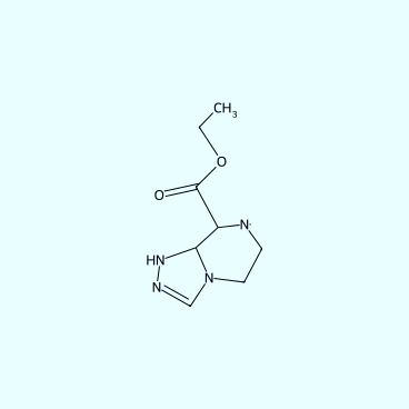 CCOC(=O)C1[N]CCN2C=NNC12